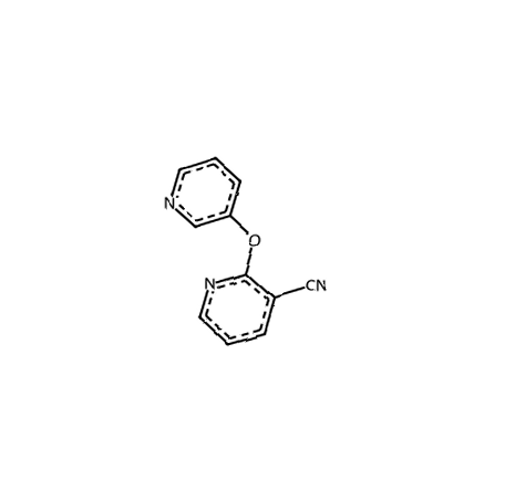 N#Cc1cccnc1Oc1cccnc1